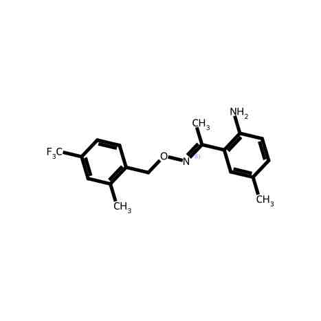 C/C(=N\OCc1ccc(C(F)(F)F)cc1C)c1cc(C)ccc1N